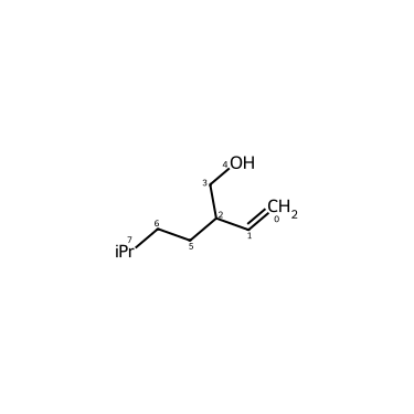 C=CC(CO)CCC(C)C